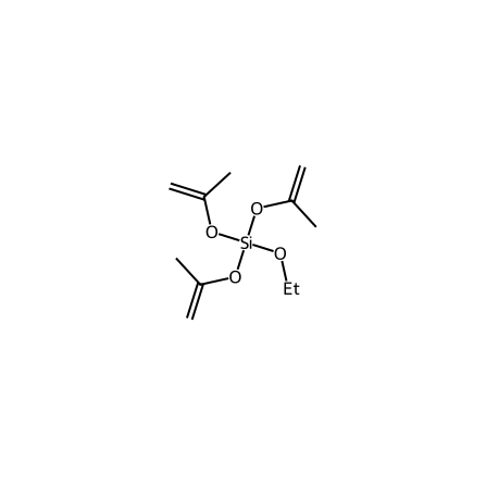 C=C(C)O[Si](OCC)(OC(=C)C)OC(=C)C